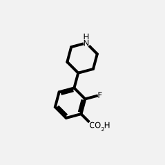 O=C(O)c1cccc(C2CCNCC2)c1F